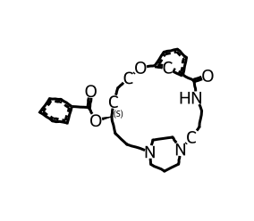 O=C1NCCCN2CCCN(CC[C@@H](OC(=O)c3ccccc3)CCCOc3cccc1c3)CC2